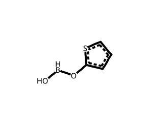 OBOc1cccs1